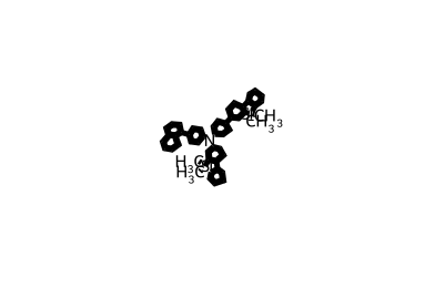 C[Si]1(C)c2ccccc2-c2ccc(-c3ccc(N(c4ccc(-c5cccc6ccccc56)cc4)c4ccc5c(c4)[Si](C)(C)c4ccccc4-5)cc3)cc21